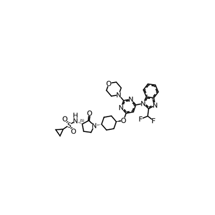 O=C1[C@@H](NS(=O)(=O)C2CC2)CCN1[C@H]1CC[C@H](Oc2cc(-n3c(C(F)F)nc4ccccc43)nc(N3CCOCC3)n2)CC1